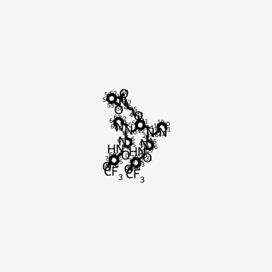 O=C(Nc1cccc(CN(Cc2cc(CN(Cc3ccccn3)Cc3cccc(NC(=O)c4ccc(OC(F)(F)F)cc4)n3)cc(OCCCCN3C(=O)c4ccccc4C3=O)c2)Cc2ccccn2)n1)c1ccc(OC(F)(F)F)cc1